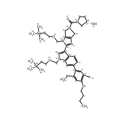 CCCCOc1cc(CC)c(-c2ccc3c(-c4nc5c(n4COCC[Si](C)(C)C)CN(C(=O)N4CC[C@H](O)C4)C5)nn(COCC[Si](C)(C)C)c3c2)cc1F